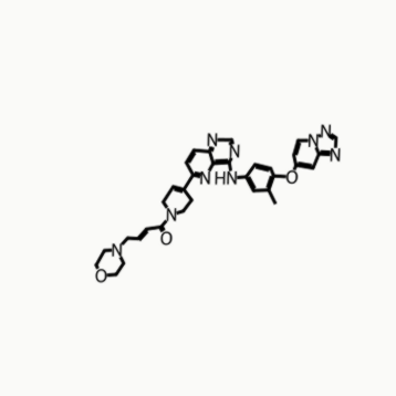 Cc1cc(Nc2ncnc3ccc(C4=CCN(C(=O)/C=C/CN5CCOCC5)CC4)nc23)ccc1Oc1ccn2ncnc2c1